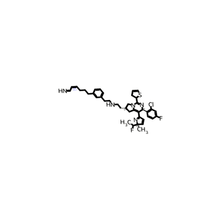 CC(F)[C@]1(C)C=CC(C2=C3C[C@H](CCNCCc4cccc(CCC/C=C\C=N)c4)CN3C(C3CC=CS3)=N[C@H]2c2ccc(F)cc2Cl)=N1